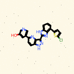 Oc1cncc(-c2ccc3[nH]nc(-c4nc5c(-c6ccc(Cl)s6)cccc5[nH]4)c3n2)c1